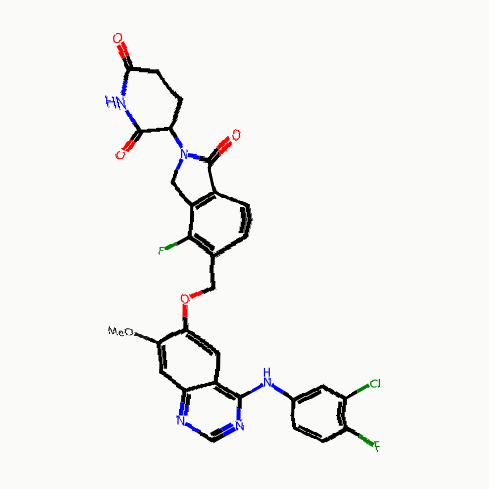 COc1cc2ncnc(Nc3ccc(F)c(Cl)c3)c2cc1OCc1ccc2c(c1F)CN(C1CCC(=O)NC1=O)C2=O